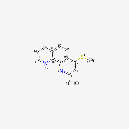 CC(C)Sc1cc(C=O)nc2c1ccc1cccnc12